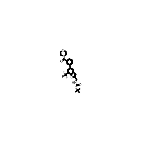 CC(C)(C)OC(=O)NCc1cc2cc(-c3cccc(C(=O)N4CCOCC4)c3)cc(C(F)(F)F)c2o1